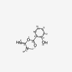 CN(C)C(=N)OC(=O)c1ccccc1O